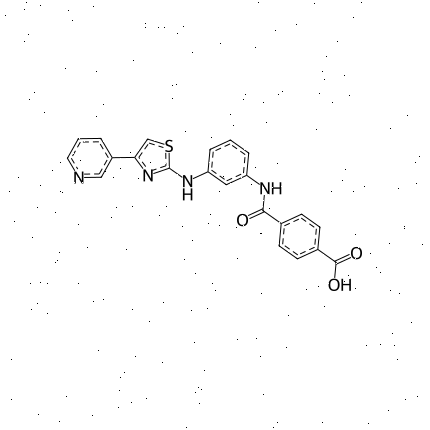 O=C(O)c1ccc(C(=O)Nc2cccc(Nc3nc(-c4cccnc4)cs3)c2)cc1